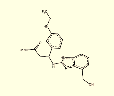 CNC(=O)CC(Nc1nc2c(CO)cccc2[nH]1)c1cccc(NSC(F)(F)F)c1